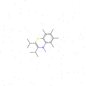 Cc1c(C)c(C)c2c(c1C)SC(C(C)C)=C(C(C)C)N2C